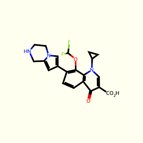 O=C(O)c1cn(C2CC2)c2c(OC(F)F)c(-c3cc4n(c3)CCNC4)ccc2c1=O